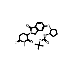 CC(C)(C)OC(=O)N[C@@H]1CCC[C@@H]1Oc1ccc2c(c1)CN(C1CCC(=O)NC1=O)C2=O